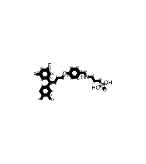 Cc1ccc(C(CCCOc2ccc(CNCCCP(=O)(O)O)cc2)c2cc(F)cc(F)c2)cc1C